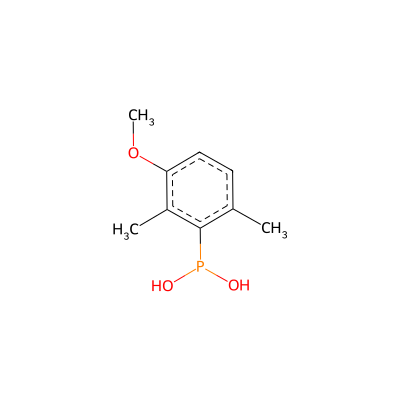 COc1ccc(C)c(P(O)O)c1C